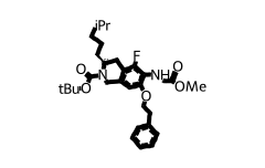 COC(=O)CNc1c(OCCc2ccccc2)cc2c(c1F)C[C@H](CCCC(C)C)N(C(=O)OC(C)(C)C)C2